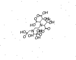 CC(O)C(C(=O)O)N(CCN(CP(=O)(O)O)CP(=O)(O)O)C(C(=O)O)C(O)C(=O)O